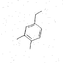 [CH2]OCc1ccc(F)c(F)c1